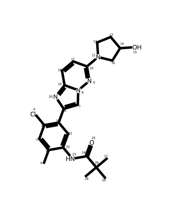 Cc1cc(Cl)c(-c2cn3nc(N4CCC(O)C4)ccc3n2)cc1NC(=O)C(C)(C)C